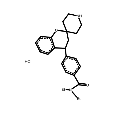 CCN(CC)C(=O)c1ccc(C2CC3(CCNCC3)Oc3ccccc32)cc1.Cl